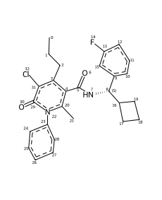 CCCc1c(C(=O)N[C@H](c2cccc(F)c2)C2CCC2)c(C)n(-c2ccccc2)c(=O)c1Cl